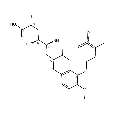 COc1ccc(C[C@@H](C[C@H](N)[C@@H](O)C[C@@H](C)C(=O)O)C(C)C)cc1OCCC(C)=S(=O)=O